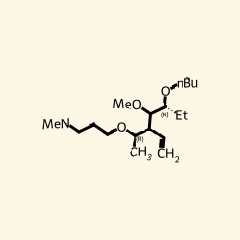 C=CC(C(OC)[C@@H](CC)OCCCC)[C@@H](C)OCCCNC